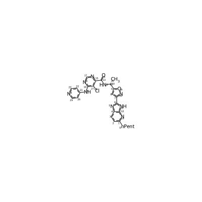 CCCCCc1ccc2nc(-c3cc([C@@H](C)NC(=O)c4ncnc(Nc5ccncc5)c4Cl)on3)[nH]c2n1